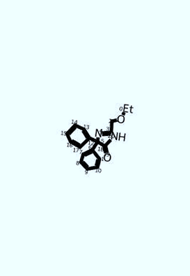 CCOCC1=NC(c2ccccc2)(c2ccccc2)C(=O)N1